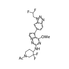 COc1nc(NC2CCN(C(C)=O)CC2(F)F)nn2ccc(-c3ccc4nnn(CC(F)F)c4c3)c12